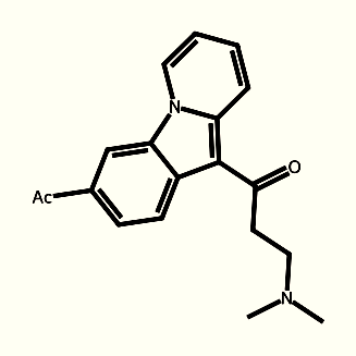 CC(=O)c1ccc2c(C(=O)CCN(C)C)c3ccccn3c2c1